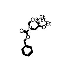 CCOC(=O)CN(CC(OCC)OCC)C(=O)OCc1ccccc1